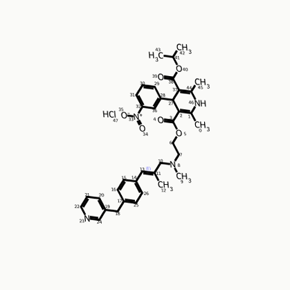 CC1=C(C(=O)OCCN(C)C/C(C)=C/c2ccc(Cc3cccnc3)cc2)C(c2cccc([N+](=O)[O-])c2)C(C(=O)OC(C)C)=C(C)N1.Cl